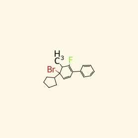 CC1C(F)=C(c2ccccc2)C=CC1(Br)C1CCCC1